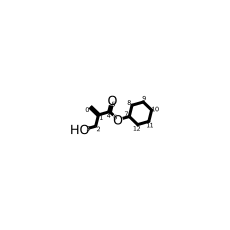 C=C(CO)C(=O)OC1CCCCC1